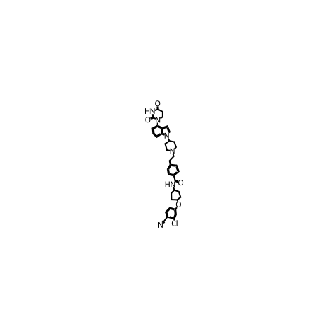 N#Cc1ccc(OC2CCC(NC(=O)c3ccc(CCN4CCC(n5ccc6c(N7CCC(=O)NC7=O)cccc65)CC4)cc3)CC2)cc1Cl